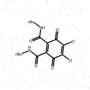 CCCCNC(=O)C1=C(C(=O)NCCCC)C(=O)C(Cl)=C(Cl)C1=O